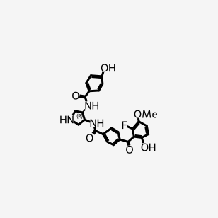 COc1ccc(O)c(C(=O)c2ccc(C(=O)NC3CNC[C@H]3NC(=O)c3ccc(O)cc3)cc2)c1F